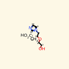 CC(=O)O.OCCOCCn1ccnc1